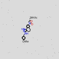 COc1ccc(CNc2n[nH]c3c2CCCc2cc(N4C[C@H](CNC(C)=O)OC4=O)ccc2-3)cc1